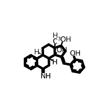 C[C@]12CC[C@@H]3c4ccccc4C(=N)C[C@H]3[C@@]1(O)C(=Cc1ccccc1O)C[C@@H]2O